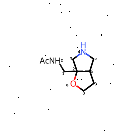 CC(=O)NCC12CNCC1CCO2